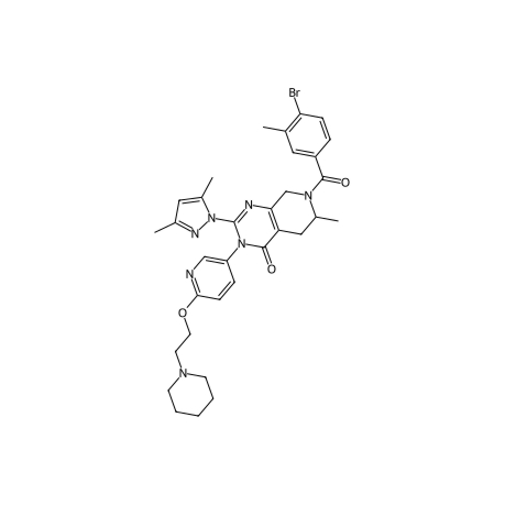 Cc1cc(C)n(-c2nc3c(c(=O)n2-c2ccc(OCCN4CCCCC4)nc2)CC(C)N(C(=O)c2ccc(Br)c(C)c2)C3)n1